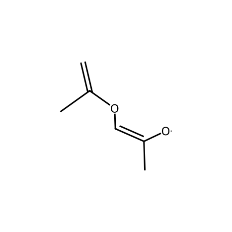 C=C(C)OC=C(C)[O]